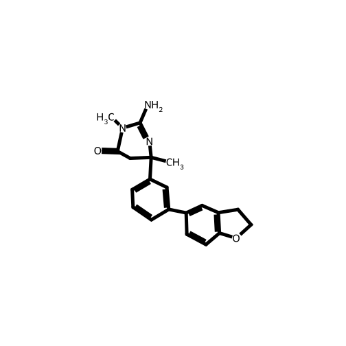 CN1C(=O)CC(C)(c2cccc(-c3ccc4c(c3)CCO4)c2)N=C1N